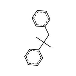 CC(C)(Cc1ccccc1)c1cc[c]cc1